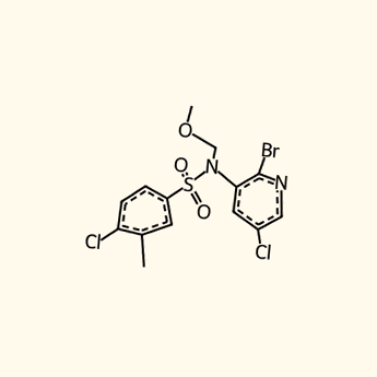 COCN(c1cc(Cl)cnc1Br)S(=O)(=O)c1ccc(Cl)c(C)c1